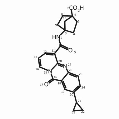 O=C(NC12CCC(C(=O)O)(CC1)C2)c1cccn2c(=O)c3cc(C4CC4)ccc3nc12